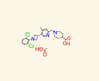 CC(=O)O.Cc1cc(CN2CCC(C(=O)O)CC2)ncc1C1CN(c2c(Cl)cccc2Cl)C1